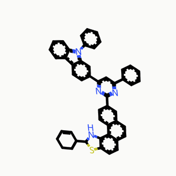 C1=CC(C2Nc3c(ccc4ccc5cc(-c6nc(-c7ccccc7)cc(-c7ccc8c9ccccc9n(-c9ccccc9)c8c7)n6)ccc5c34)S2)CCC1